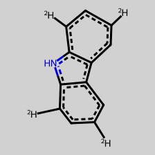 [2H]c1cc([2H])c2[nH]c3c([2H])cc([2H])cc3c2c1